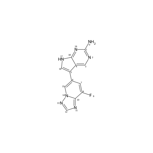 Nc1ncc2c(-c3cc(F)c4ncnn4c3)c[nH]c2n1